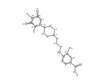 COC(=O)c1ccc(OCCCN2CCN(c3cc(=O)n(C)c(=O)n3C)CC2)c(F)c1